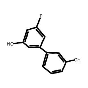 N#Cc1cc(F)cc(-c2cccc(O)c2)c1